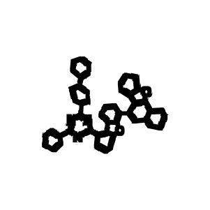 c1ccc(-c2ccc(-c3nc(-c4ccccc4)nc(-c4cccc5oc6c(-c7cc8ccccc8c8oc9ccccc9c78)cccc6c45)n3)cc2)cc1